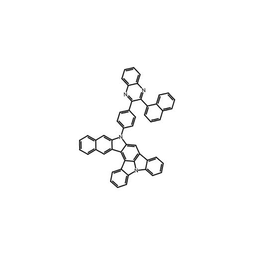 c1ccc2cc3c(cc2c1)c1c2c4ccccc4n4c5ccccc5c(cc1n3-c1ccc(-c3nc5ccccc5nc3-c3cccc5ccccc35)cc1)c24